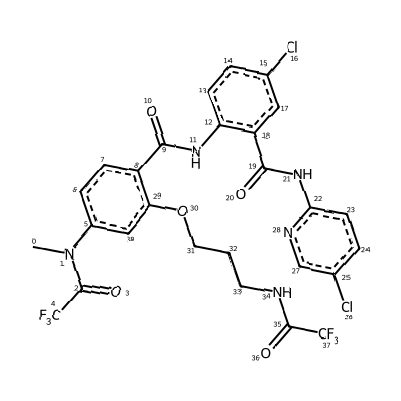 CN(C(=O)C(F)(F)F)c1ccc(C(=O)Nc2ccc(Cl)cc2C(=O)Nc2ccc(Cl)cn2)c(OCCCNC(=O)C(F)(F)F)c1